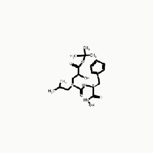 CC(C)CN(CC(O)C(=O)OC(C)(C)C)C(=O)N[C@@H](Cc1ccccc1)C(=O)NO